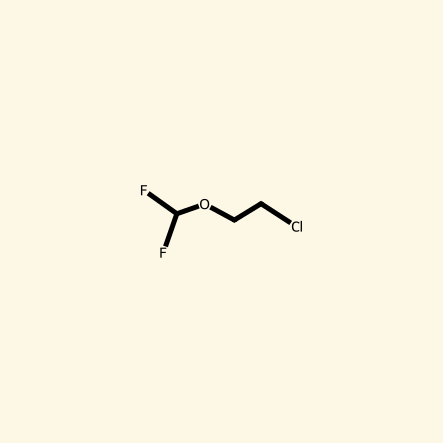 FC(F)OCCCl